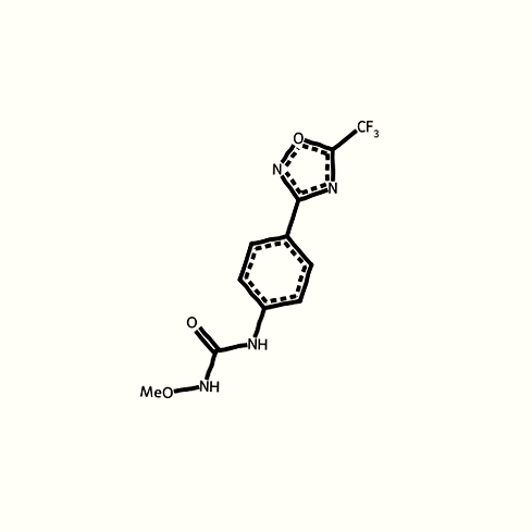 CONC(=O)Nc1ccc(-c2noc(C(F)(F)F)n2)cc1